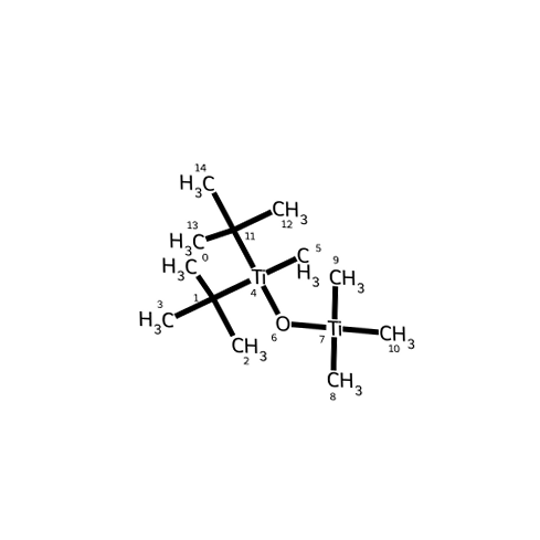 C[C](C)(C)[Ti]([CH3])([O][Ti]([CH3])([CH3])[CH3])[C](C)(C)C